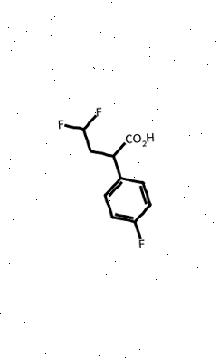 O=C(O)C(CC(F)F)c1ccc(F)cc1